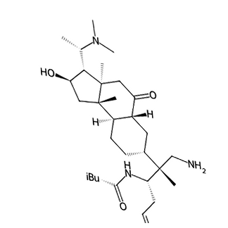 C=CC[C@H](NC(=O)[C@@H](C)CC)[C@@](C)(CN)[C@@H]1CC[C@@H]2[C@@H](C1)C(=O)C[C@]1(C)[C@@H]([C@H](C)N(C)C)[C@H](O)C[C@@]21C